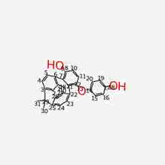 Cc1cc2ccc1-c1c(O)ccc(Oc3ccc(O)cc3)c1-c1ccc(cc1C)C2(C)C